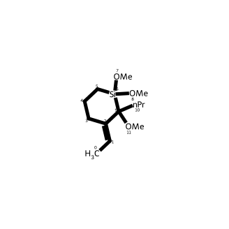 CC=C1CCC[Si](OC)(OC)C1(CCC)OC